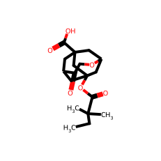 CCC(C)(C)C(=O)OC12CC3CC(C(=O)O)(CC(C1)C(=O)CO3)C2